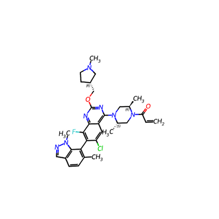 C=CC(=O)N1C[C@H](C)N(c2nc(OC[C@@H]3CCN(C)C3)nc3c(F)c(-c4c(C)ccc5cnn(C)c45)c(Cl)cc23)C[C@H]1C